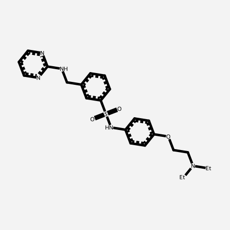 CCN(CC)CCOc1ccc(NS(=O)(=O)c2cccc(CNc3ncccn3)c2)cc1